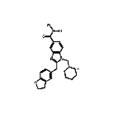 CCN(CC)C(=O)c1ccc2c(c1)nc(Cc1ccc3c(c1)CCO3)n2CC1CCCCN1